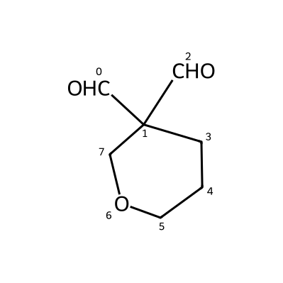 O=CC1(C=O)CCCOC1